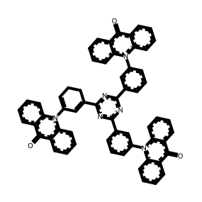 O=c1c2ccccc2n(C2=CCCC(c3nc(-c4cccc(-n5c6ccccc6c(=O)c6ccccc65)c4)nc(-c4cccc(-n5c6ccccc6c(=O)c6ccccc65)c4)n3)=C2)c2ccccc12